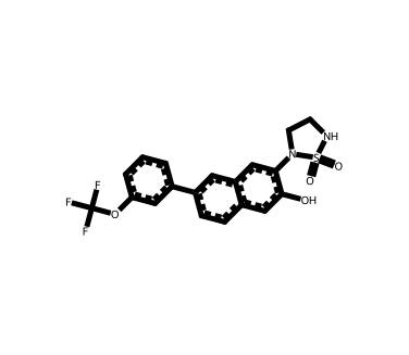 O=S1(=O)NCCN1c1cc2cc(-c3cccc(OC(F)(F)F)c3)ccc2cc1O